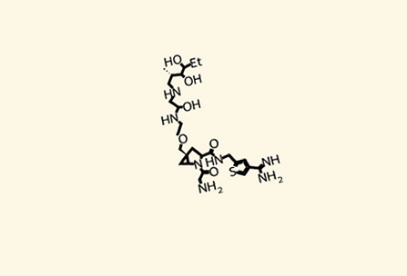 CCC(O)C(O)[C@@H](C)CNCC(O)NCCOC[C@@]12CC(C(=O)NCc3cc(C(=N)N)cs3)N(C(=O)CN)C1C2